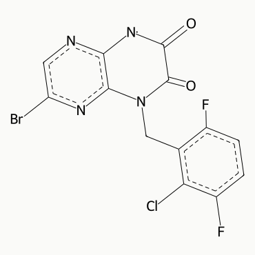 O=C1[N]c2ncc(Br)nc2N(Cc2c(F)ccc(F)c2Cl)C1=O